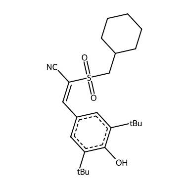 CC(C)(C)c1cc(/C=C(/C#N)S(=O)(=O)CC2CCCCC2)cc(C(C)(C)C)c1O